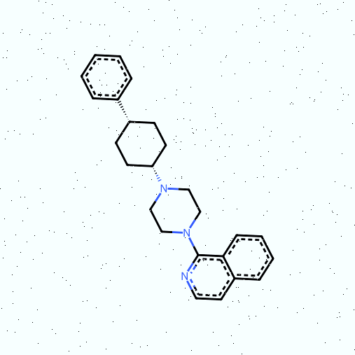 c1ccc([C@H]2CC[C@@H](N3CCN(c4nccc5ccccc45)CC3)CC2)cc1